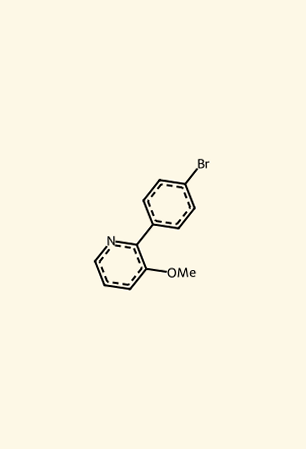 COc1cccnc1-c1ccc(Br)cc1